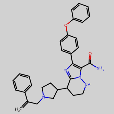 C=C(CN1CCC(C2CCNn3c2nc(-c2ccc(Oc4ccccc4)cc2)c3C(N)=O)C1)c1ccccc1